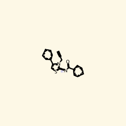 C#CCn1c(-c2ccccc2)cs/c1=N/C(=O)c1ccccc1